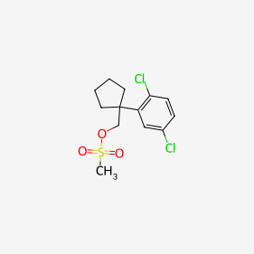 CS(=O)(=O)OCC1(c2cc(Cl)ccc2Cl)CCCC1